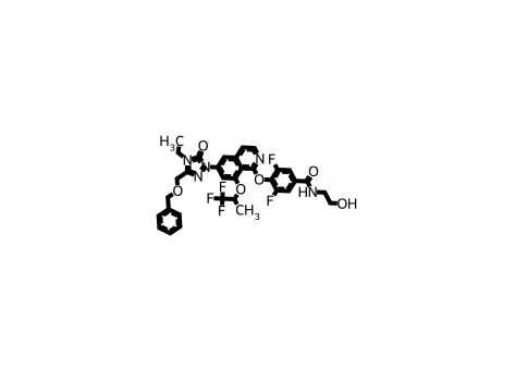 CCn1c(COCc2ccccc2)nn(-c2cc(OC(C)C(F)(F)F)c3c(Oc4c(F)cc(C(=O)NCCO)cc4F)nccc3c2)c1=O